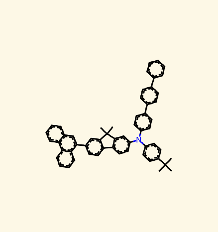 CC(C)(C)c1ccc(N(c2ccc(-c3ccc(-c4ccccc4)cc3)cc2)c2ccc3c(c2)C(C)(C)c2cc(-c4cc5ccccc5c5ccccc45)ccc2-3)cc1